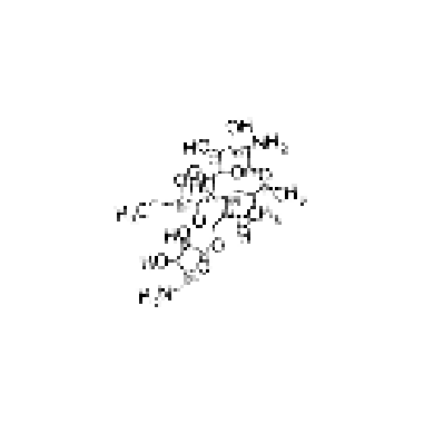 CCC[C@H](O)C(=O)N[C@H](CC(C)[C@H](C)O[C@H]1OC(CO)[C@@H](O)[C@H](O)C1N)[C@@H](O)CO[C@@H]1O[C@H](CN)C(O)[C@@H]1O